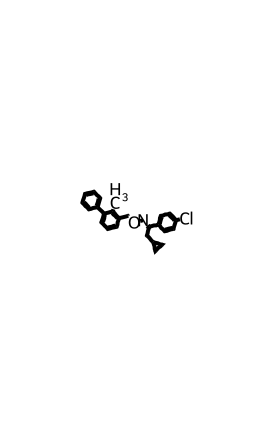 Cc1c(CO/N=C(\CC2CC2)c2ccc(Cl)cc2)cccc1-c1ccccc1